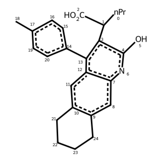 CCCC(C(=O)O)c1c(O)nc2cc3c(cc2c1-c1ccc(C)cc1)CCCC3